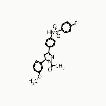 COc1cccc(C2CC(c3ccc(NS(=O)(=O)c4ccc(F)cc4)cc3)=NN2C(C)=O)c1